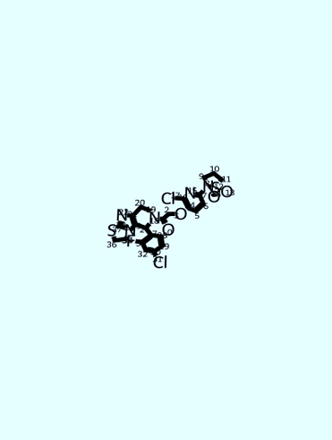 O=C(COc1ccc(N2CCCS2(=O)=O)nc1Cl)N1CCc2nc3n(c2C1c1ccc(Cl)cc1F)CCS3